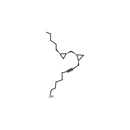 CCCCC[C@@H]1C[C@@H]1C[C@H]1C[C@H]1CC#CCCCCCO